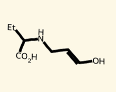 CCC(NCC=CO)C(=O)O